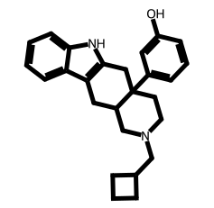 Oc1cccc(C23CCN(CC4CCC4)CC2Cc2c([nH]c4ccccc24)C3)c1